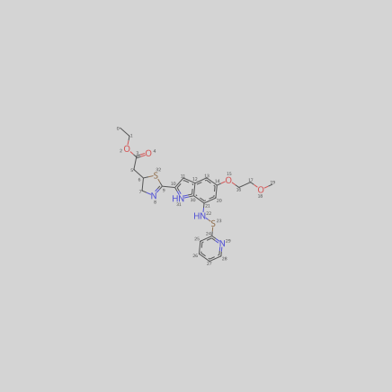 CCOC(=O)CC1CN=C(c2cc3cc(OCCOC)cc(NSc4ccccn4)c3[nH]2)S1